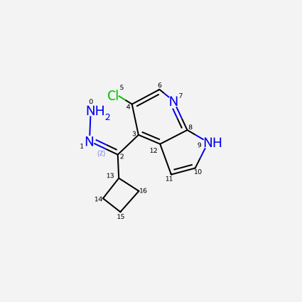 N/N=C(\c1c(Cl)cnc2[nH]ccc12)C1CCC1